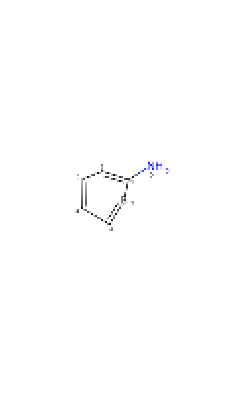 Nc1bcccc1